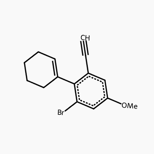 C#Cc1cc(OC)cc(Br)c1C1=CCCCC1